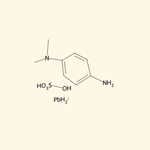 CN(C)c1ccc(N)cc1.O=S(=O)(O)O.[PbH2]